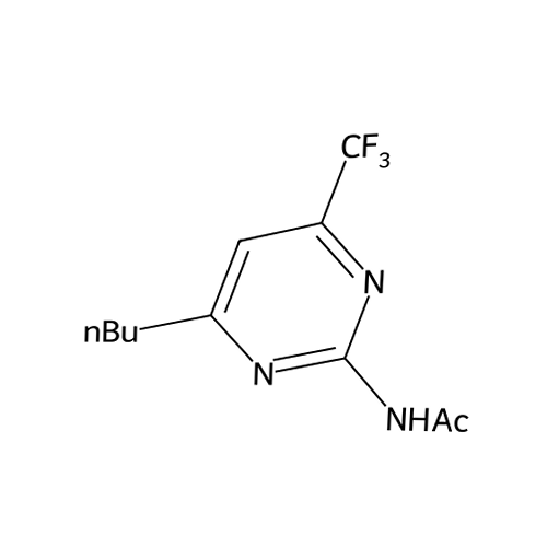 CCCCc1cc(C(F)(F)F)nc(NC(C)=O)n1